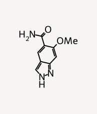 COc1cc2n[nH]cc2cc1C(N)=O